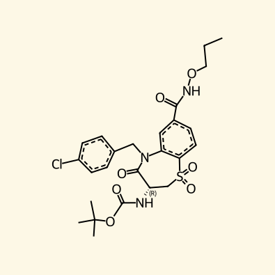 CCCONC(=O)c1ccc2c(c1)N(Cc1ccc(Cl)cc1)C(=O)[C@@H](NC(=O)OC(C)(C)C)CS2(=O)=O